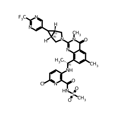 Cc1cc([C@@H](C)Nc2ccc(Cl)nc2C(=O)NS(C)(=O)=O)c2nc(N3C[C@@H]4C(c5cnc(C(F)(F)F)nc5)[C@@H]4C3)n(C)c(=O)c2c1